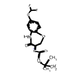 CC(C)(C)OC(=O)/N=C1\COc2ccc(OC(F)F)cc2NC1=O